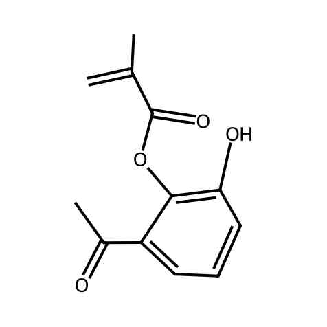 C=C(C)C(=O)Oc1c(O)cccc1C(C)=O